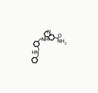 NC(=O)c1ccc2c(NCc3cccc(CNCc4ccccc4)c3)ccnc2c1